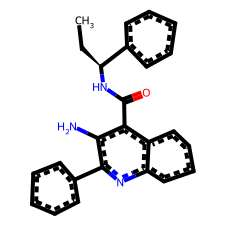 CC[C@H](NC(=O)c1c(N)c(-c2ccccc2)nc2ccccc12)c1ccccc1